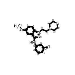 COc1ccc2c(c1)c(Nc1cccc(Cl)c1)nn2CCN1CCOCC1